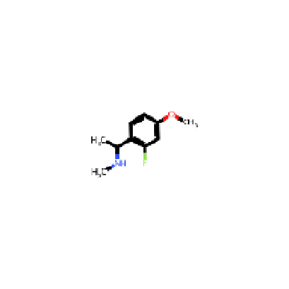 CNC(C)c1ccc(OC)cc1F